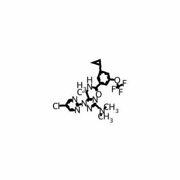 C[C@H](NC(=O)c1cc(OC(F)(F)F)cc(C2CC2)c1)c1nc(N(C)C)nn1-c1ncc(Cl)cn1